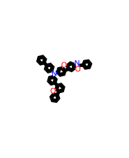 c1ccc(-c2ccc(N(c3cccc(-c4cccc5c4oc4ccccc45)c3)c3ccc4c(c3)oc3cc5nc(-c6ccccc6)oc5cc34)cc2)cc1